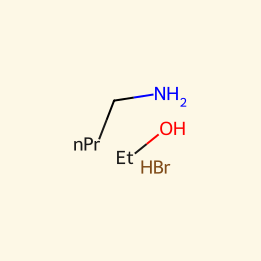 Br.CCCCN.CCO